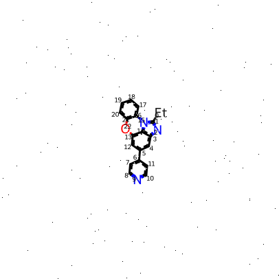 CCc1nc2cc(-c3ccncc3)cc3c2n1-c1ccccc1O3